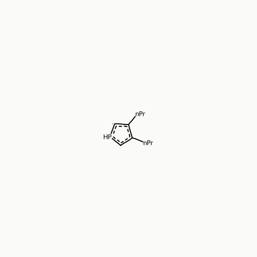 CCCc1[c][pH]cc1CCC